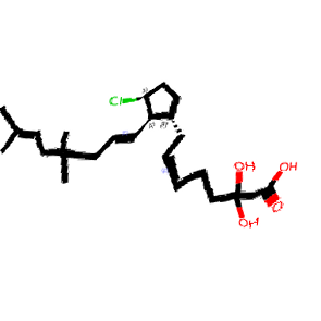 CC(C)=CCC(C)(C)C/C=C/[C@@H]1[C@@H](C/C=C\CCC(O)(O)C(=O)O)CC[C@@H]1Cl